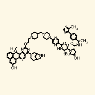 Cc1ncsc1-c1ccc([C@H](C)NC(=O)[C@@H]2C[C@@H](O)CN2C(=O)[C@@H](NC(=O)c2cnc(N3CCN(CC4CCN(CCOc5nc(N6CCC7CNC(C7)C6)c6cnc7c(c6n5)C(C)c5cccc6cc(O)cc-7c56)CC4)CC3)cn2)C(C)(C)C)cc1